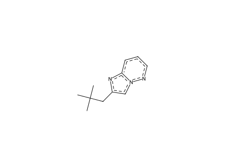 CC(C)(C)Cc1cn2ncccc2n1